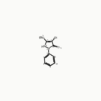 CCc1c(C(C)(C)C)[nH]n(-c2ccccc2)c1=O